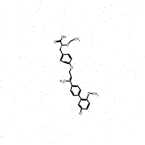 CCO[C@@H](Cc1ccc(OC/C=C(\C)c2ccc(-c3cc(Cl)ccc3OC)cc2)cc1)C(=O)O